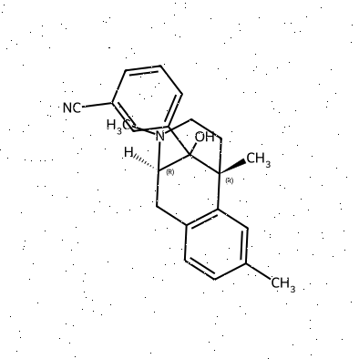 Cc1ccc2c(c1)[C@@]1(C)CCN(C)[C@H](C2)C1(O)c1cccc(C#N)c1